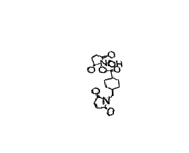 O=C(O[N+]1(O)C(=O)CCC1=O)C1CCC(CN2C(=O)C=CC2=O)CC1